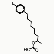 CC(CCCCCCCc1ccc(I)cc1)OC(=O)O